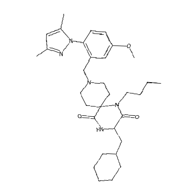 CCCCN1C(=O)C(CC2CCCCC2)NC(=O)C12CCN(Cc1cc(OC)ccc1-n1nc(C)cc1C)CC2